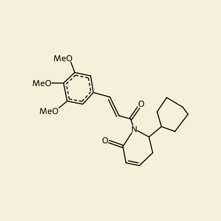 COc1cc(C=CC(=O)N2C(=O)C=CCC2C2CCCCC2)cc(OC)c1OC